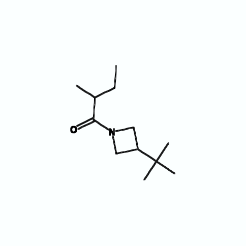 CCC(C)C(=O)N1CC(C(C)(C)C)C1